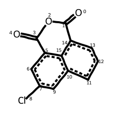 O=C1OC(=O)c2cc(Cl)cc3cccc1c23